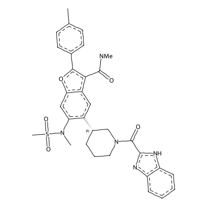 CNC(=O)c1c(-c2ccc(C)cc2)oc2cc(N(C)S(C)(=O)=O)c([C@H]3CCCN(C(=O)c4nc5ccccc5[nH]4)C3)cc12